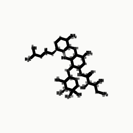 CC(O)CNC[C@@H]1CCC(N)[C@@H](OC2C(O)C(O[C@H]3OCC(C)(O)[C@H](C)C3O)[C@H](NC(=O)[C@@H](O)[C@@H](O)CN)C[C@@H]2N)O1